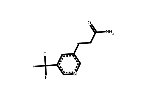 NC(=O)C[CH]c1cncc(C(F)(F)F)c1